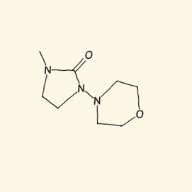 CN1CCN(N2CCOCC2)C1=O